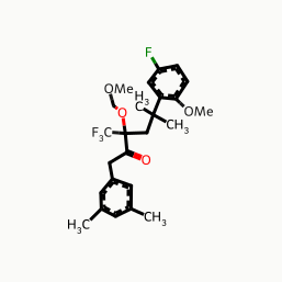 COCOC(CC(C)(C)c1cc(F)ccc1OC)(C(=O)Cc1cc(C)cc(C)c1)C(F)(F)F